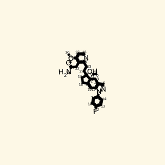 CC[C@]12Cc3cnn(-c4ccc(F)cc4)c3C=C1CC[C@@]2(O)CCc1nccc(OC)c1CC(N)=O